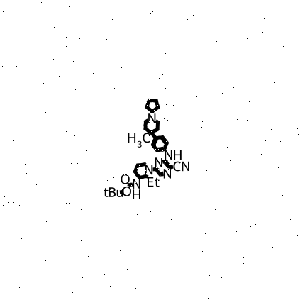 CC[C@@H]1[C@H](NC(=O)OC(C)(C)C)CCCN1c1cnc(C#N)c(Nc2ccc(C3(C)CCN(C4CCCC4)CC3)cc2)n1